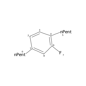 CCCCCc1ccc(CCCCC)c(F)c1